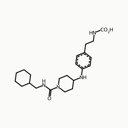 O=C(O)NCCc1ccc(NC2CCN(C(=O)NCC3CCCCC3)CC2)cc1